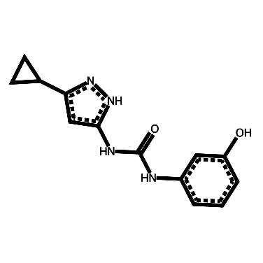 O=C(Nc1cccc(O)c1)Nc1cc(C2CC2)n[nH]1